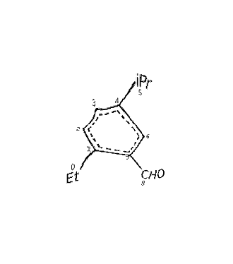 CCc1ccc(C(C)C)cc1C=O